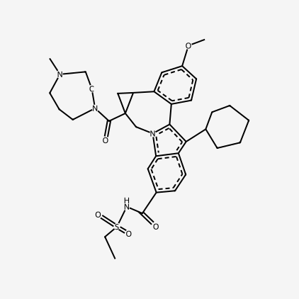 CCS(=O)(=O)NC(=O)c1ccc2c(C3CCCCC3)c3n(c2c1)CC1(C(=O)N2CCCN(C)CC2)CC1c1cc(OC)ccc1-3